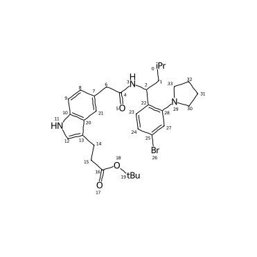 CC(C)CC(NC(=O)Cc1ccc2[nH]cc(CCC(=O)OC(C)(C)C)c2c1)c1ccc(Br)cc1N1CCCC1